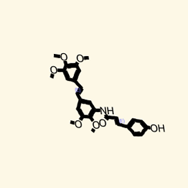 COc1cc(/C=C/c2cc(OC)c(OC)c(OC)c2)cc(NC(=O)/C=C/c2ccc(O)cc2)c1OC